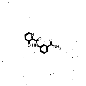 NC(=O)c1cccc(NC(=O)C2=NC=CCC2=O)c1